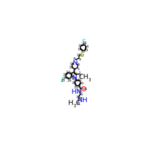 CCc1c(C2CCN(CCCSc3ccc(F)cc3)CC2)c2ccc(F)cc2n1-c1ccc(C(=O)NCCNC)cc1